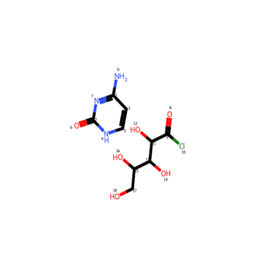 Nc1cc[nH]c(=O)n1.O=C(Cl)C(O)C(O)C(O)CO